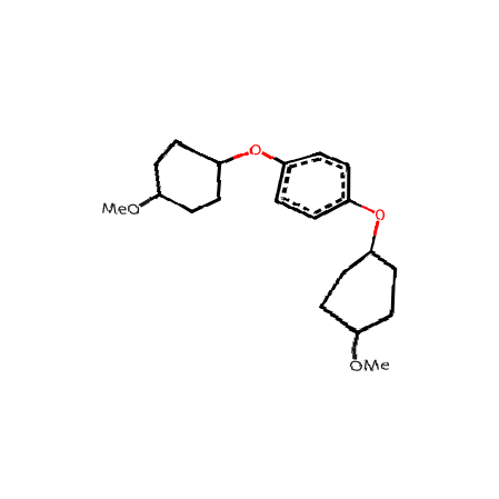 COC1CCC(Oc2ccc(OC3CCC(OC)CC3)cc2)CC1